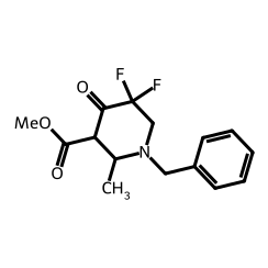 COC(=O)C1C(=O)C(F)(F)CN(Cc2ccccc2)C1C